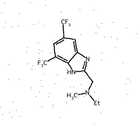 CCN(C)Cc1nc2cc(C(F)(F)F)cc(C(F)(F)F)c2[nH]1